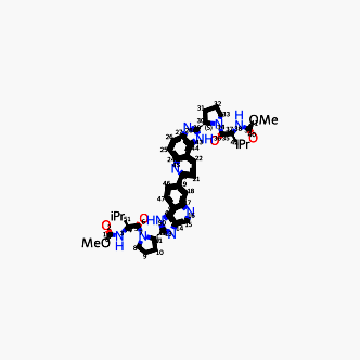 COC(=O)N[C@H](C(=O)N1CCC[C@H]1c1nc2cnc3cc(-c4ccc5c(ccc6nc([C@@H]7CCCN7C(=O)[C@@H](NC(=O)OC)C(C)C)[nH]c65)n4)ccc3c2[nH]1)C(C)C